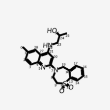 Cc1ccc2nc(N3CCS(=O)(=O)c4ccccc4C3)cc(NCC(C)O)c2c1